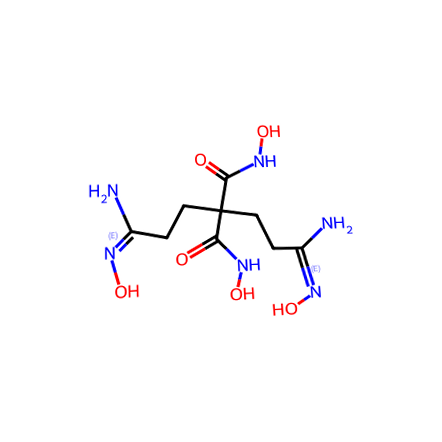 N/C(CCC(CC/C(N)=N\O)(C(=O)NO)C(=O)NO)=N/O